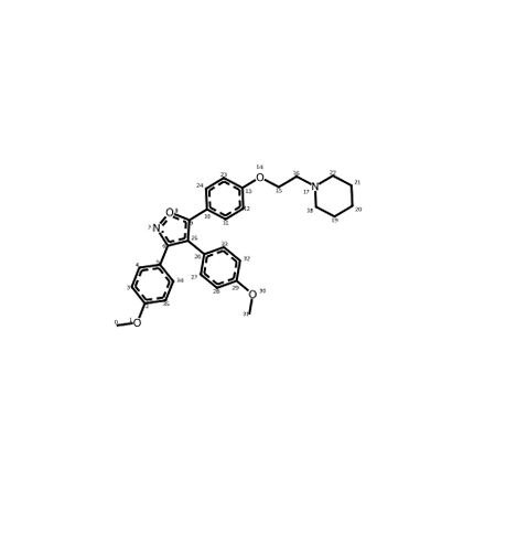 COc1ccc(-c2noc(-c3ccc(OCCN4CCCCC4)cc3)c2-c2ccc(OC)cc2)cc1